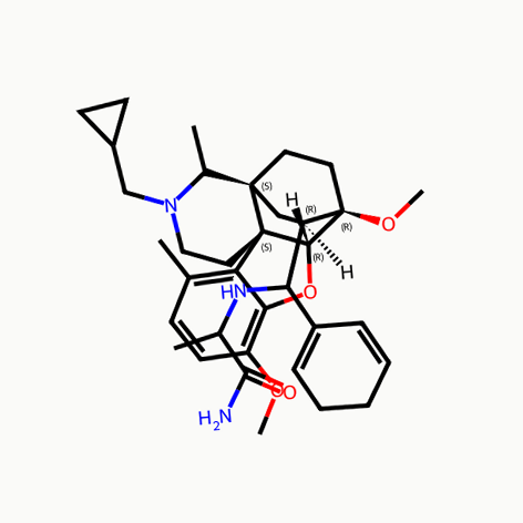 COc1ccc(C)c2c1O[C@H]1[C@@]3(OC)CC[C@@]4(C[C@@H]3C(NC(C)C(N)=O)C3=CCCC=C3)C(C)N(CC3CC3)CC[C@]214